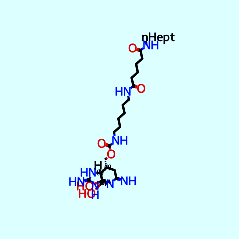 CCCCCCCNC(=O)CCCCC(=O)NCCCCCCNC(=O)OC[C@@H]1CC(=N)N2CCC(O)(O)[C@@]23NC(=N)N[C@@H]13